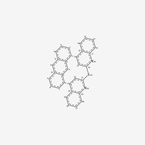 c1ccc2cc3ccccc3cc2c1.c1ccc2nc(Sc3ccc4ccccc4n3)ccc2c1